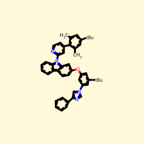 Cc1cc(C(C)(C)C)cc(C)c1-c1ccnc(-n2c3ccccc3c3ccc(Oc4cc(-n5cnc(-c6ccccc6)c5)cc(C(C)(C)C)c4)cc32)c1